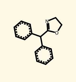 c1ccc(C(C2=NCCO2)c2ccccc2)cc1